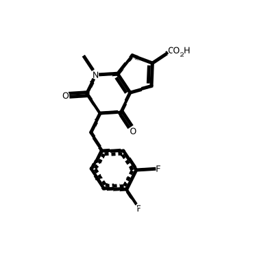 CN1C(=O)C(Cc2ccc(F)c(F)c2)C(=O)C2=C1CC(C(=O)O)=C2